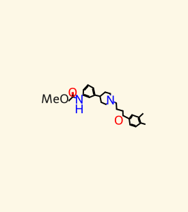 COCC(=O)Nc1cccc(C2CCN(CCCC(=O)c3ccc(C)c(C)c3)CC2)c1